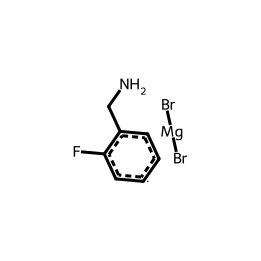 NCc1cc[c]cc1F.[Br][Mg][Br]